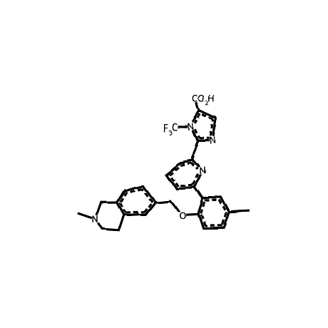 Cc1ccc(OCc2ccc3c(c2)CCN(C)C3)c(-c2cccc(-c3ncc(C(=O)O)n3C(F)(F)F)n2)c1